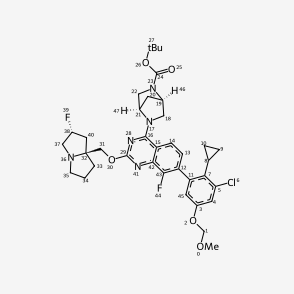 COCOc1cc(Cl)c(C2CC2)c(-c2ccc3c(N4C[C@H]5C[C@@H]4CN5C(=O)OC(C)(C)C)nc(OC[C@@]45CCCN4C[C@H](F)C5)nc3c2F)c1